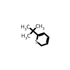 CC(C)(C)C1=CC=CCS1